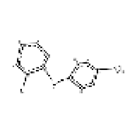 O=[N+]([O-])c1ccc(Oc2ccccc2Cl)nc1